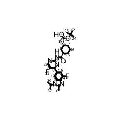 Cc1nc2c(F)cc(-c3nc(NC(=O)[C@@H]4CCC[C@H](OC(O)OC(C)(C)C)C4)ncc3F)cc2n1C(C)C